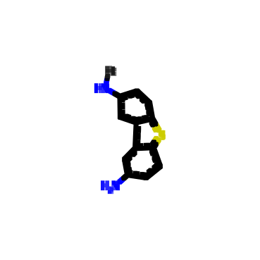 CCNc1ccc2sc3ccc(N)cc3c2c1